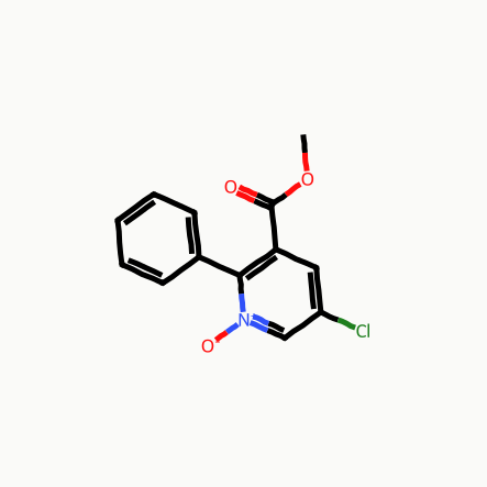 COC(=O)c1cc(Cl)c[n+]([O-])c1-c1ccccc1